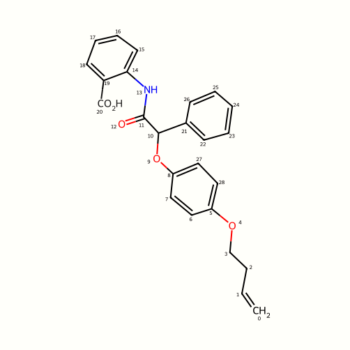 C=CCCOc1ccc(OC(C(=O)Nc2ccccc2C(=O)O)c2ccccc2)cc1